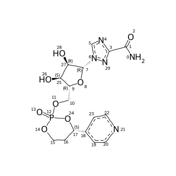 NC(=O)c1ncn([C@@H]2O[C@H](COP3(=O)OCC[C@@H](c4ccncc4)O3)[C@@H](O)[C@H]2O)n1